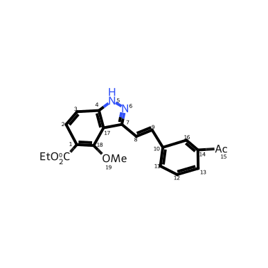 CCOC(=O)c1ccc2[nH]nc(C=Cc3cccc(C(C)=O)c3)c2c1OC